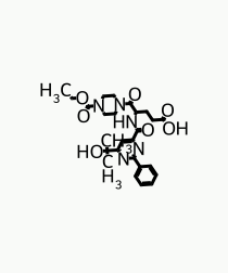 CCOC(=O)N1CCN(C(=O)C(CCC(=O)O)NC(=O)c2cc(C(C)(C)O)nc(-c3ccccc3)n2)CC1